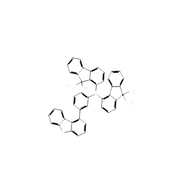 CC1(C)c2ccccc2-c2c(N(c3cccc(-c4cccc5oc6ccccc6c45)c3)c3cccc4c3C(C)(C)c3ccccc3-4)cccc21